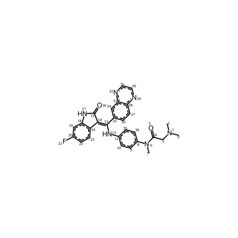 CN(C)CC(=O)N(C)c1ccc(NC(=C2C(=O)Nc3cc(F)ccc32)c2ccc3nccnc3c2)cc1